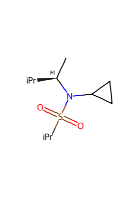 CC(C)[C@@H](C)N(C1CC1)S(=O)(=O)C(C)C